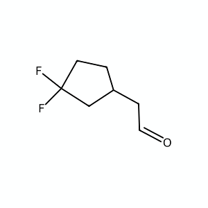 O=CCC1CCC(F)(F)C1